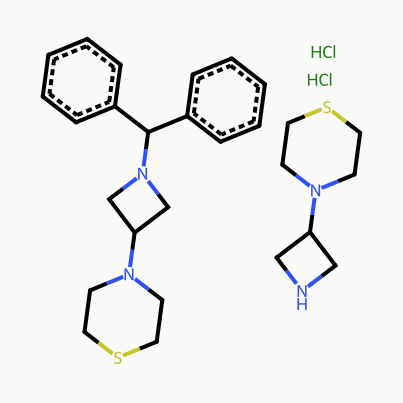 C1CN(C2CNC2)CCS1.Cl.Cl.c1ccc(C(c2ccccc2)N2CC(N3CCSCC3)C2)cc1